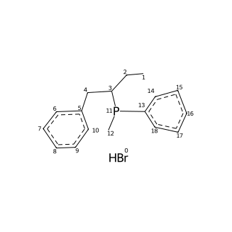 Br.CCC(Cc1ccccc1)P(C)c1ccccc1